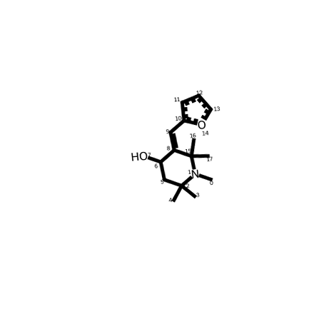 CN1C(C)(C)CC(O)C(=Cc2ccco2)C1(C)C